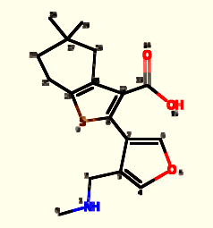 CNCc1cocc1-c1sc2c(c1C(=O)O)CC(C)(C)CC2